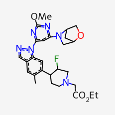 CCOC(=O)CN1CCC(c2cc3c(cnn3-c3cc(N4CC5CC4CO5)nc(OC)n3)cc2C)C(F)C1